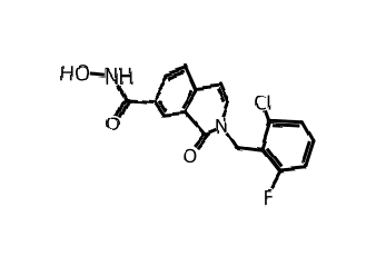 O=C(NO)c1ccc2ccn(Cc3c(F)cccc3Cl)c(=O)c2c1